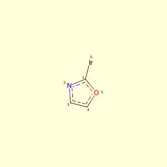 [Ir][c]1ncco1